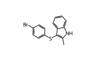 Cc1[nH]c2ccccc2c1Sc1ccc(Br)cc1